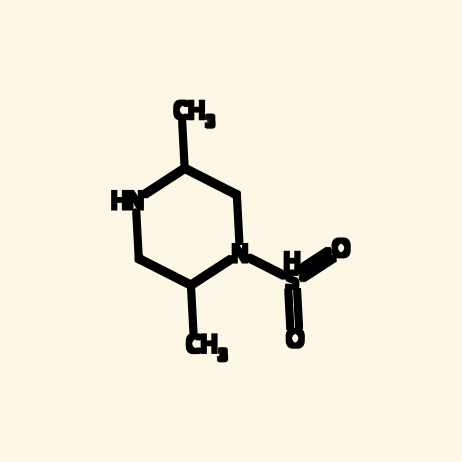 CC1CN([SH](=O)=O)C(C)CN1